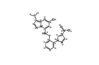 CC(C)c1cnn2c(NCc3ccccc3-n3cc([N+](=O)[O-])cn3)cc(Cl)nc12